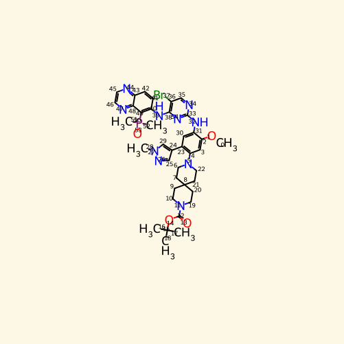 COc1cc(N2CCC3(CCN(C(=O)OC(C)(C)C)CC3)CC2)c(-c2cnn(C)c2)cc1Nc1ncc(Br)c(Nc2ccc3nccnc3c2P(C)(C)=O)n1